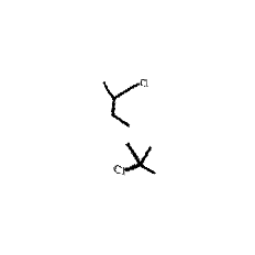 CC(C)(C)Cl.CCC(C)Cl